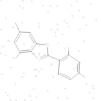 Fc1cc(C(F)(F)F)ccc1-c1nc2c(C(F)(F)F)cc(C(F)(F)F)cc2[nH]1